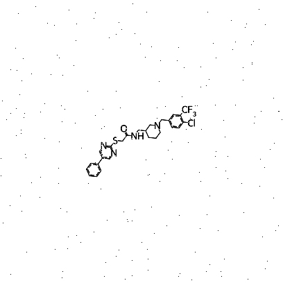 O=C(CSc1ncc(-c2ccccc2)cn1)NCC1CCCN(Cc2ccc(Cl)c(C(F)(F)F)c2)C1